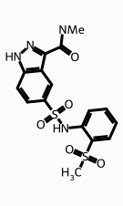 CNC(=O)c1n[nH]c2ccc(S(=O)(=O)Nc3ccccc3S(C)(=O)=O)cc12